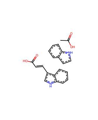 CC(=O)O.O=C(O)C=Cc1c[nH]c2ccccc12.c1ccc2[nH]ccc2c1